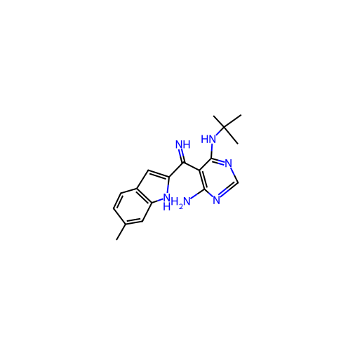 Cc1ccc2cc(C(=N)c3c(N)ncnc3NC(C)(C)C)[nH]c2c1